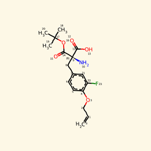 C=CCOc1ccc(C[C@@](N)(C(=O)O)C(=O)OC(C)(C)C)cc1F